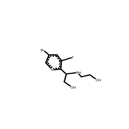 OCCNC(CO)c1ncc(Br)cc1F